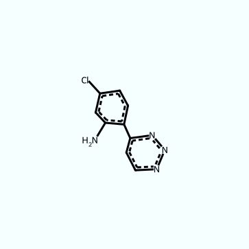 Nc1cc(Cl)ccc1-c1ccnnn1